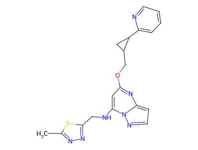 Cc1nnc(CNc2cc(OCC3CC3c3ccccn3)nc3ccnn23)s1